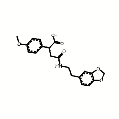 COc1ccc(C(CC(=O)NCCc2ccc3c(c2)OCO3)C(=O)O)cc1